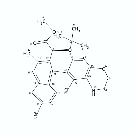 COC(=O)[C@@H](OC(C)(C)C)c1c(C)nc2cc(Br)ccc2c1-c1ccc2c(c1Cl)NCCO2